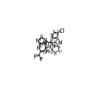 O=C(c1ccc(Cl)s1)N1[C@H]2CC[C@H](c3cc(C(F)F)nc4ncnn34)[C@@H]1CC2